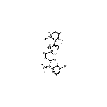 CN(C)C(c1cccc(F)c1)C1CCC(NC(=O)c2c(F)cccc2F)CC1